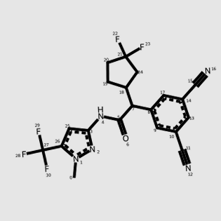 Cn1nc(NC(=O)C(c2cc(C#N)cc(C#N)c2)C2CCC(F)(F)C2)cc1C(F)(F)F